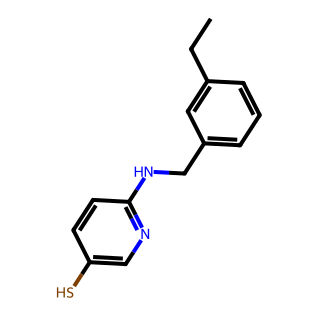 CCc1cccc(CNc2ccc(S)cn2)c1